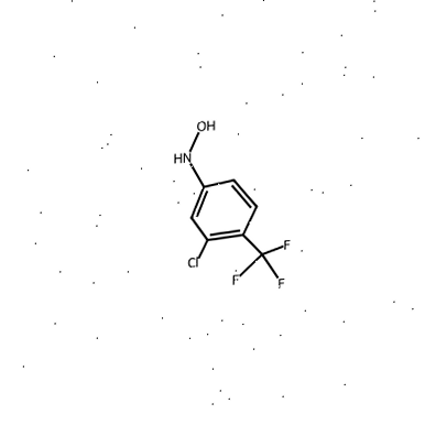 ONc1ccc(C(F)(F)F)c(Cl)c1